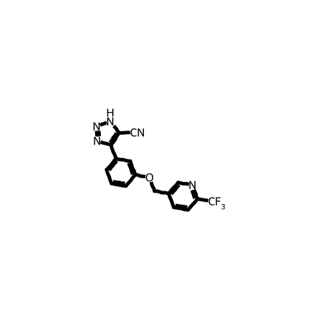 N#Cc1[nH]nnc1-c1cccc(OCc2ccc(C(F)(F)F)nc2)c1